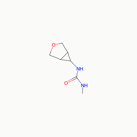 CNC(=O)NC1C2COCC21